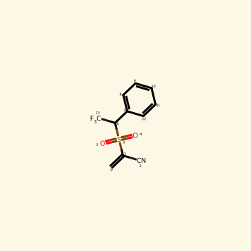 C=C(C#N)S(=O)(=O)C(c1ccccc1)C(F)(F)F